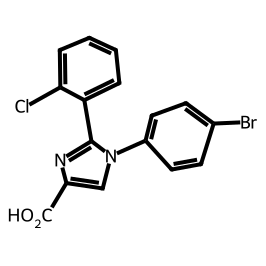 O=C(O)c1cn(-c2ccc(Br)cc2)c(-c2ccccc2Cl)n1